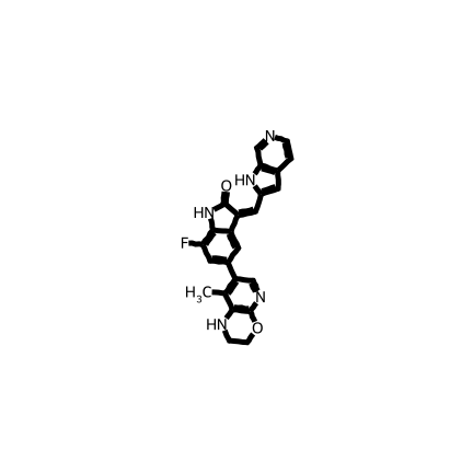 Cc1c(-c2cc(F)c3c(c2)C(=Cc2cc4ccncc4[nH]2)C(=O)N3)cnc2c1NCCO2